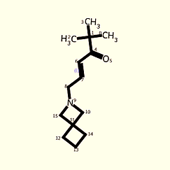 CC(C)(C)C(=O)/C=C/CN1CC2(CCC2)C1